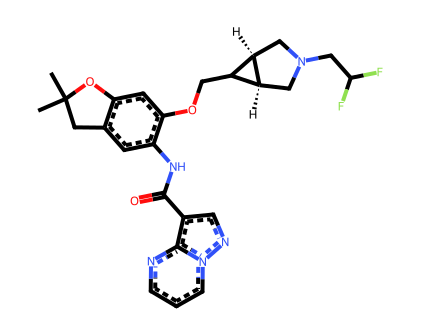 CC1(C)Cc2cc(NC(=O)c3cnn4cccnc34)c(OCC3[C@H]4CN(CC(F)F)C[C@@H]34)cc2O1